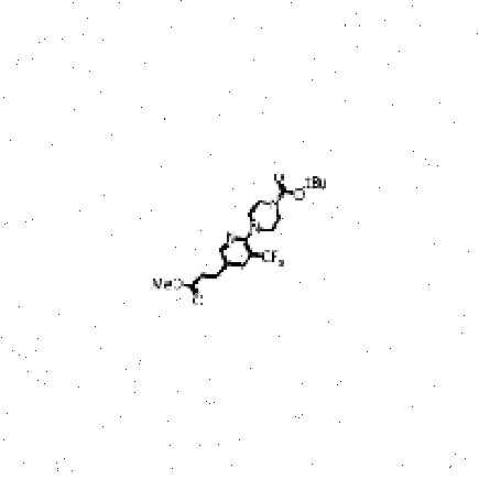 COC(=O)/C=C/c1cnc(N2CCN(C(=O)OC(C)(C)C)CC2)c(C(F)(F)F)c1